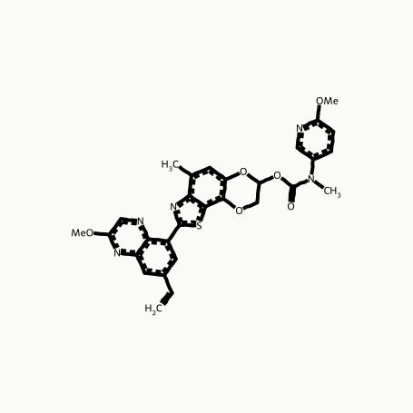 C=Cc1cc(-c2nc3c(C)cc4c(c3s2)OCC(OC(=O)N(C)c2ccc(OC)nc2)O4)c2ncc(OC)nc2c1